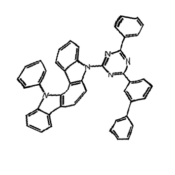 c1ccc(-c2cccc(-c3nc(-c4ccccc4)nc(-n4c5ccccc5c5c4ccc4c6ccccc6n(-c6ccccc6)c45)n3)c2)cc1